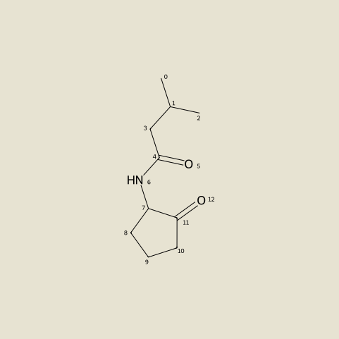 CC(C)CC(=O)NC1CCCC1=O